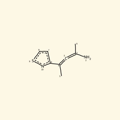 CC(N)=C=C(C)c1ccsn1